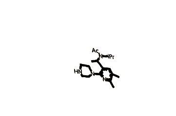 CC(=O)N(C(C)C)C(C)c1cc(C)c(C)nc1N1CCNCC1